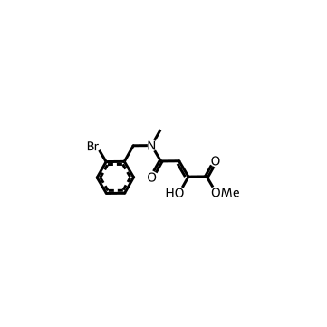 COC(=O)/C(O)=C/C(=O)N(C)Cc1ccccc1Br